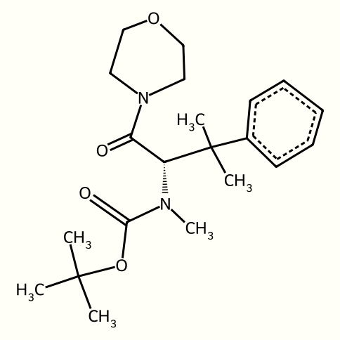 CN(C(=O)OC(C)(C)C)[C@H](C(=O)N1CCOCC1)C(C)(C)c1ccccc1